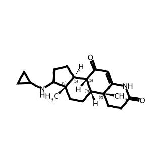 C[C@]12CCC(=O)NC1=CC(=O)[C@@H]1[C@H]2CC[C@]2(C)C(NC3CC3)CC[C@@H]12